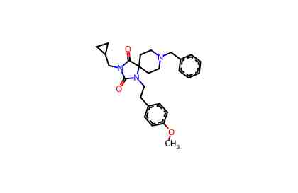 COc1ccc(CCN2C(=O)N(CC3CC3)C(=O)C23CCN(Cc2ccccc2)CC3)cc1